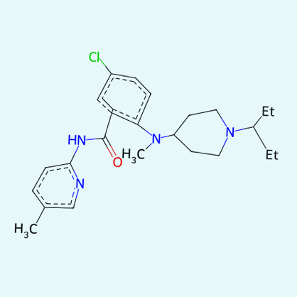 CCC(CC)N1CCC(N(C)c2ccc(Cl)cc2C(=O)Nc2ccc(C)cn2)CC1